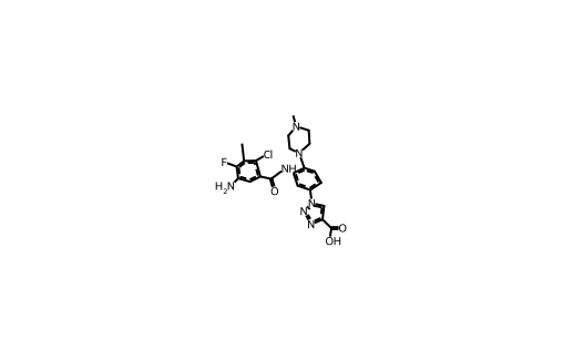 Cc1c(F)c(N)cc(C(=O)Nc2cc(-n3cc(C(=O)O)nn3)ccc2N2CCN(C)CC2)c1Cl